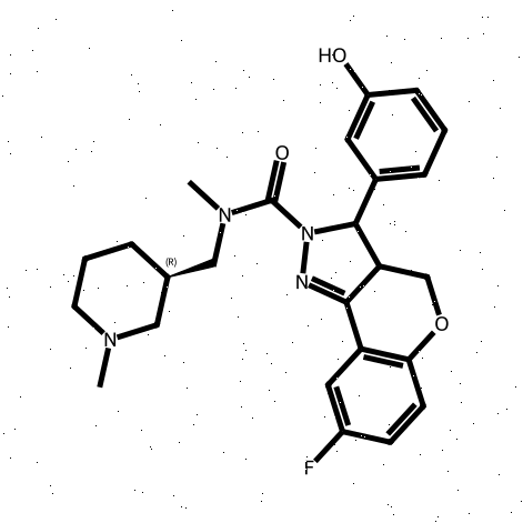 CN1CCC[C@@H](CN(C)C(=O)N2N=C3c4cc(F)ccc4OCC3C2c2cccc(O)c2)C1